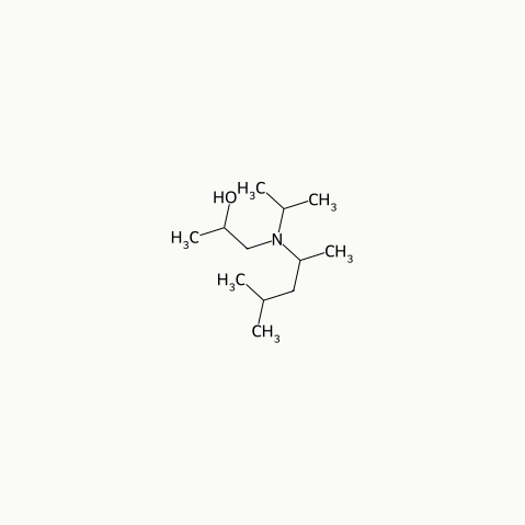 CC(C)CC(C)N(CC(C)O)C(C)C